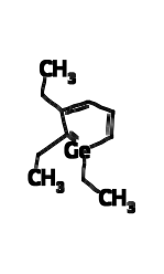 CCC1=CC=[CH][Ge]([CH2]C)=[C]1CC